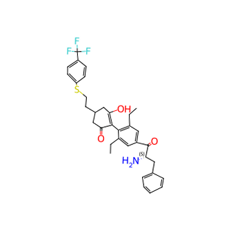 CCc1cc(C(=O)[C@@H](N)Cc2ccccc2)cc(CC)c1C1=C(O)CC(CCSc2ccc(C(F)(F)F)cc2)CC1=O